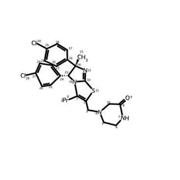 CC(C)C1=C(CN2CCNC(=O)C2)SC2=N[C@@](C)(c3ccc(Cl)cc3)[C@@H](c3ccc(Cl)cc3)N21